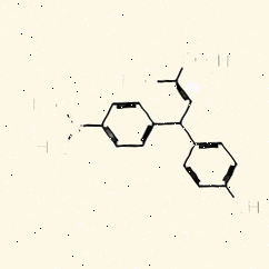 C/C(=C\C(c1ccc(C)cc1)c1ccc(N(C)C)cc1)C(=O)O